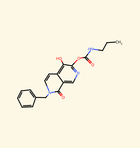 CCCNC(=O)Oc1ncc2c(=O)n(Cc3ccccc3)ccc2c1O